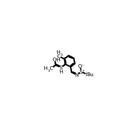 CC(O)=[SH]c1c(C)cccc1/C=N\[S+]([O-])C(C)(C)C